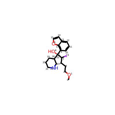 COCCCC(I)[C@@](O)(c1cccc2ccoc12)C1CCCNC1